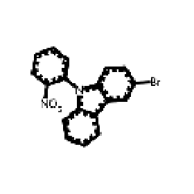 O=[N+]([O-])c1ccccc1-n1c2ccccc2c2cc(Br)ccc21